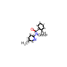 CON(C(=O)c1ccccc1C)c1ccc(C)cn1